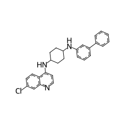 Clc1ccc2c(NC3CCC(Nc4cccc(-c5ccccc5)c4)CC3)ccnc2c1